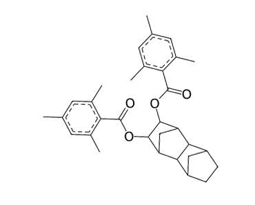 Cc1cc(C)c(C(=O)OC2C3CC(C2OC(=O)c2c(C)cc(C)cc2C)C2C4CCC(C4)C32)c(C)c1